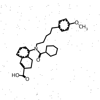 COc1ccc(CCCCCN(C(=O)C2CCCCC2)c2cccc3c2CCC(C(=O)O)=C3)cc1